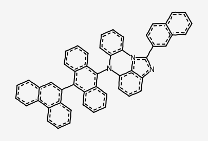 c1ccc2c(c1)N(c1c3ccccc3c(-c3cc4ccccc4c4ccccc34)c3ccccc13)c1cccc3nc(-c4ccc5ccccc5c4)n-2c13